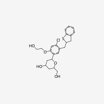 OCCOc1cc(Cl)c(CC2Cc3ccccc3S2)cc1C1CC(O)CC(CO)O1